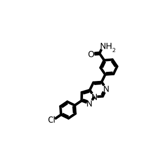 NC(=O)c1cccc(-c2cc3cc(-c4ccc(Cl)cc4)nn3cn2)c1